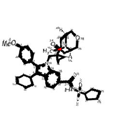 COc1ccc(-c2c(C3CCCCC3)c3ccc(C(=O)NS(=O)(=O)C4CCCC4)cc3n2CC2(C(=O)N3[C@@H]4COC[C@H]3CN(C)C4)CC2)cc1